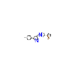 Cc1ccc(-c2cncc(CN3CC=C(c4cccs4)CC3)c2)cc1